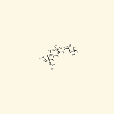 CCO[Si](CCCN(CCC(=O)O[Si](C)(C)C)[Si](C)(C)C)(OCC)OCC